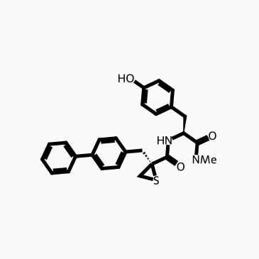 CNC(=O)[C@H](Cc1ccc(O)cc1)NC(=O)[C@]1(Cc2ccc(-c3ccccc3)cc2)CS1